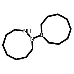 C1CCCCB(N2CCCCCCCN2)CCC1